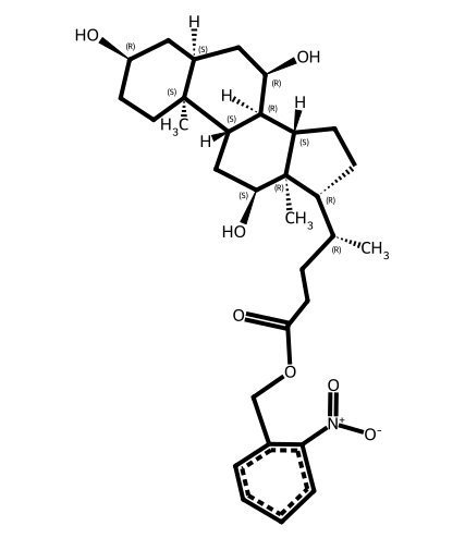 C[C@H](CCC(=O)OCc1ccccc1[N+](=O)[O-])[C@H]1CC[C@H]2[C@@H]3[C@H](O)C[C@@H]4C[C@H](O)CC[C@]4(C)[C@H]3C[C@H](O)[C@]12C